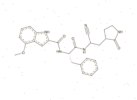 COc1cccc2[nH]c(C(=O)N[C@@H](Cc3ccccc3)C(=O)NC(C#N)CC3CCNC3=O)cc12